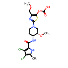 COCc1nc(N2CC[C@@H](NC(=O)c3[nH]c(C)c(Cl)c3Cl)[C@@H](OC)C2)sc1OC(=O)O